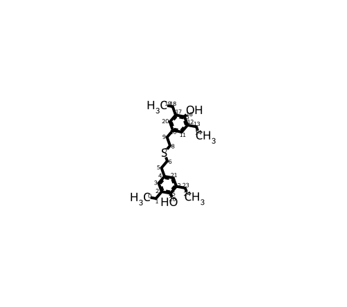 CCc1cc(CCSCCc2cc(CC)c(O)c(CC)c2)cc(CC)c1O